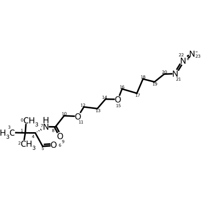 CC(C)(C)[C@@H](C=O)NC(=O)COCCCOCCCCCN=[N+]=[N-]